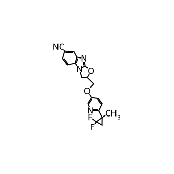 CC1(c2ccc(OCC3Cn4c(nc5cc(C#N)ccc54)O3)cn2)CC1(F)F